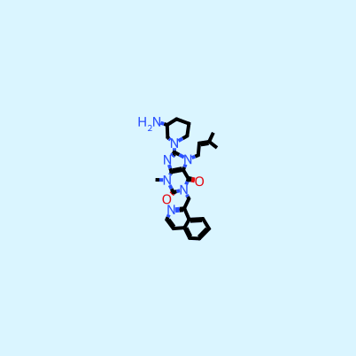 CC(C)=CCn1c(N2CCCC(N)C2)nc2c1c(=O)n(Cc1nccc3ccccc13)c(=O)n2C